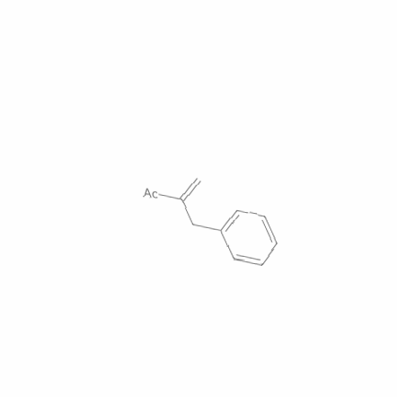 C=C(Cc1ccccc1)C(C)=O